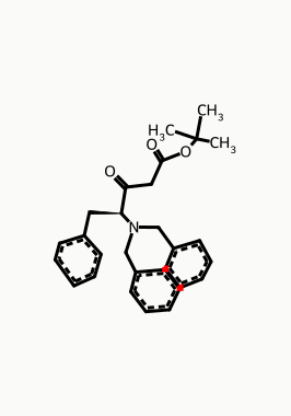 CC(C)(C)OC(=O)CC(=O)[C@H](Cc1ccccc1)N(Cc1ccccc1)Cc1ccccc1